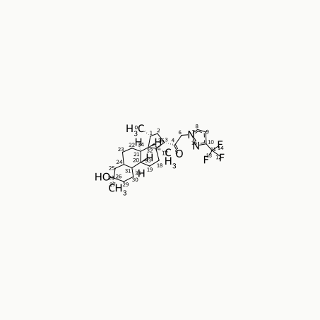 C[C@@H]1C[C@H](C(=O)Cn2ccc(C(F)(F)F)n2)[C@@]2(C)CC[C@H]3[C@@H](CCC4C[C@](C)(O)CC[C@@H]43)[C@H]12